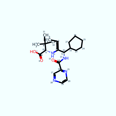 CC=C(N[C@H](C(=O)O)C(C)(C)C)[C@@H](NC(=O)c1cnccn1)C1CCCCC1